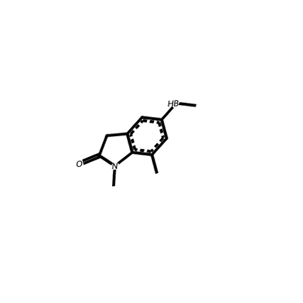 CBc1cc(C)c2c(c1)CC(=O)N2C